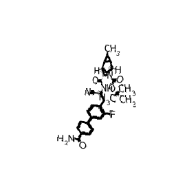 CC1C2C1[C@@H]1C[C@H]2[C@@H](C(=O)N[C@H](C#N)Cc2ccc(-c3ccc(C(N)=O)cc3)cc2F)N1C(=O)OC(C)(C)C